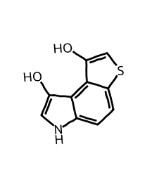 Oc1c[nH]c2ccc3scc(O)c3c12